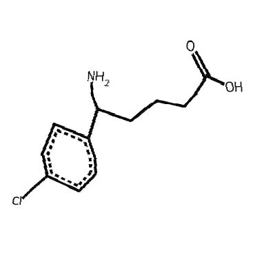 NC(CCCC(=O)O)c1ccc(Cl)cc1